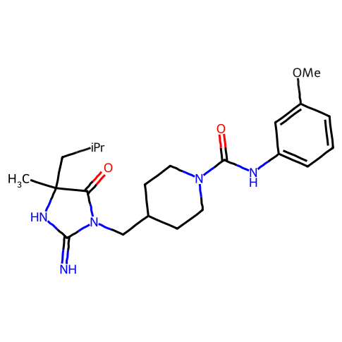 COc1cccc(NC(=O)N2CCC(CN3C(=N)NC(C)(CC(C)C)C3=O)CC2)c1